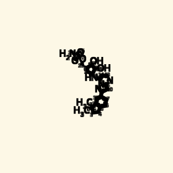 CC1(C)CCc2ccc(-c3cc4nccc(N[C@@H]5C[C@H](COS(N)(=O)=O)[C@@H](O)[C@H]5O)n4n3)cc21